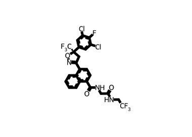 O=C(CNC(=O)c1ccc(C2=NO[C@@](c3cc(Cl)c(F)c(Cl)c3)(C(F)(F)F)C2)c2ccccc12)NCC(F)(F)F